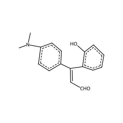 CN(C)c1ccc(C(=CC=O)c2ccccc2O)cc1